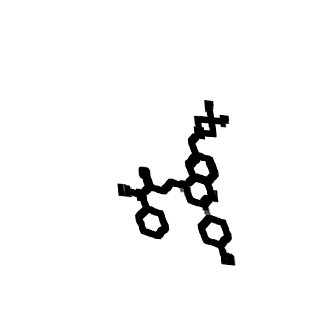 CCN(C(=O)CCN1CC([C@H]2CC[C@H](CC)CC2)=Nc2ccc(CN3CC(F)(F)C3)cc21)C1CCCCC1